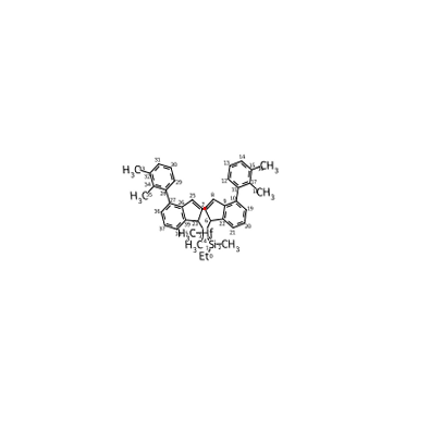 CC[Si](C)=[Hf]([CH3])([CH3])([CH]1C=Cc2c(-c3cccc(C)c3C)cccc21)[CH]1C=Cc2c(-c3cccc(C)c3C)cccc21